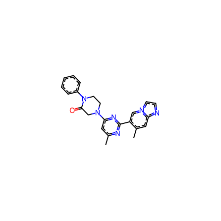 Cc1cc(N2CCN(c3ccccc3)C(=O)C2)nc(-c2cn3ccnc3cc2C)n1